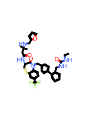 CCNC(=O)NCc1ccccc1-c1ccc(CN2C(=O)[C@H](NC(=O)CC(C)(C)NCc3ccco3)CSc3cc(C(F)(F)F)ccc32)cc1